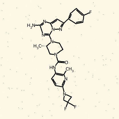 Cc1nc(N2CC(F)(F)C2)ccc1NC(=O)N1CCN(c2nc(N)nc3cc(-c4ccc(F)cc4)nn23)[C@@H](C)C1